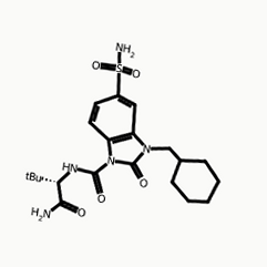 CC(C)(C)[C@H](NC(=O)n1c(=O)n(CC2CCCCC2)c2cc(S(N)(=O)=O)ccc21)C(N)=O